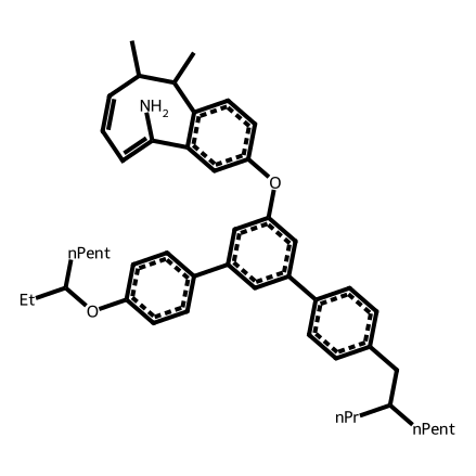 CCCCCC(CCC)Cc1ccc(-c2cc(Oc3ccc4c(c3)/C(N)=C/C=C\C(C)C4C)cc(-c3ccc(OC(CC)CCCCC)cc3)c2)cc1